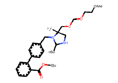 CCCCC1NCC(COCOCCOC)(C(F)(F)F)N1Cc1ccc(-c2ccccc2C(=O)OC(C)(C)C)cc1